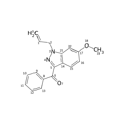 C=CCn1nc(C(=O)c2ccccc2)c2ccc(OC)cc21